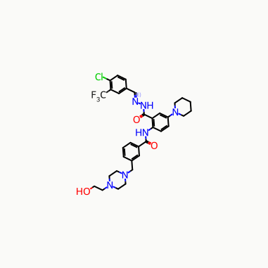 O=C(Nc1ccc(N2CCCCC2)cc1C(=O)N/N=C/c1ccc(Cl)c(C(F)(F)F)c1)c1cccc(CN2CCN(CCO)CC2)c1